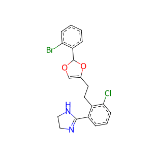 Clc1cccc(C2=NCCN2)c1CCC1=COC(c2ccccc2Br)O1